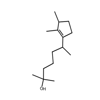 CC1=C(C(C)CCCC(C)(C)O)CCC1C